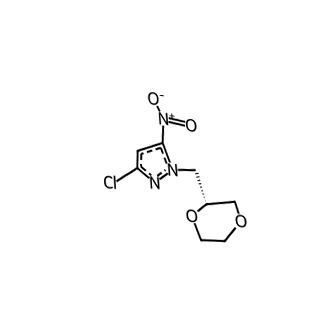 O=[N+]([O-])c1cc(Cl)nn1C[C@@H]1COCCO1